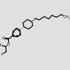 CCCCCCCC[C@H]1CC[C@H](c2ccc(C(=O)OC(F)CF)cc2)CC1